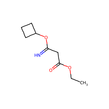 CCOC(=O)CC(=N)OC1CCC1